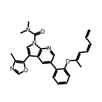 C=C/C=C\C=C(/C)Oc1ccccc1-c1cnc2c(c1)c(-c1ocnc1C)cn2C(=O)N(C)C